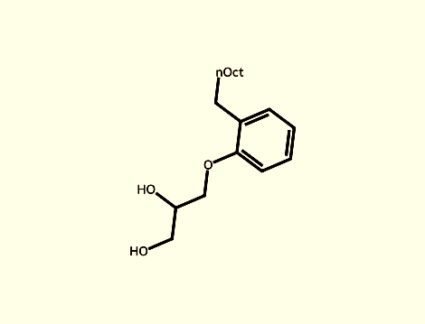 CCCCCCCCCc1ccccc1OCC(O)CO